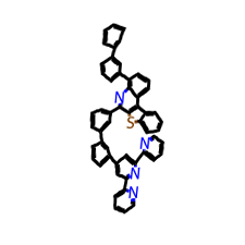 c1ccc(-c2cccc(-c3cccc4c3nc(-c3cccc(-c5cccc(-c6cc(-c7ccccn7)nc(-c7ccccn7)c6)c5)c3)c3sc5ccccc5c34)c2)cc1